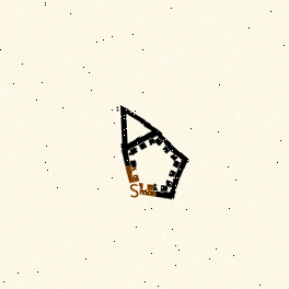 [C]1c2ccsc21